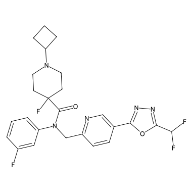 O=C(N(Cc1ccc(-c2nnc(C(F)F)o2)cn1)c1cccc(F)c1)C1(F)CCN(C2CCC2)CC1